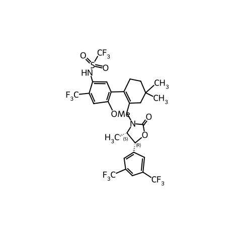 COc1cc(C(F)(F)F)c(NS(=O)(=O)C(F)(F)F)cc1C1=C(CN2C(=O)O[C@H](c3cc(C(F)(F)F)cc(C(F)(F)F)c3)[C@@H]2C)CC(C)(C)CC1